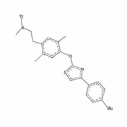 CCN(C)CCc1cc(C)c(Oc2nc(-c3ccc(C(C)(C)C)cc3)cs2)cc1C